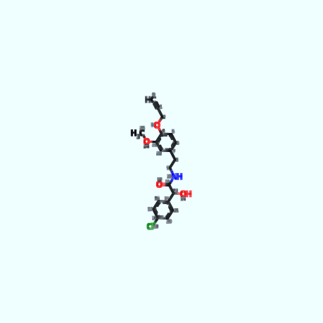 C#CCOc1ccc(CCNC(=O)C(O)c2ccc(Cl)cc2)cc1OC